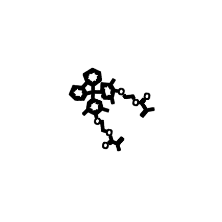 C=C(C)C(=O)OCCOc1c(C)cc(C2(c3cc(C)c(OCCOC(=O)C(=C)C)c(C)c3)c3ccccc3-c3ccccc32)cc1C